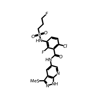 CSc1n[nH]c2ncc(NC(=O)c3c(Cl)ccc(NS(=O)(=O)CCCF)c3F)cc12